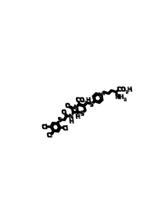 N[C@@H](CCC[n+]1ccc(SCC2=C(C(=O)O)N3C(=O)[C@H](NC(=O)CSc4cc(Cl)c(Cl)cc4Cl)[C@H]3SC2)cc1)C(=O)O